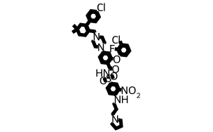 CC1(C)CCC(CN2CCN(c3ccc(C(=O)NS(=O)(=O)c4ccc(NCCCN5CCCC5)c([N+](=O)[O-])c4)c(Oc4cccc(Cl)c4F)c3)CC2)=C(c2ccc(Cl)cc2)C1